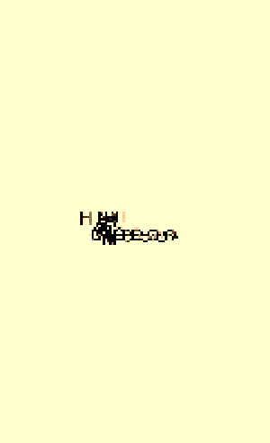 CCCOCCOCCOCCOCCOCCOCCOCCn1cc(CN2C(=O)CC(SCC(N)C(=O)O)C2=O)nn1